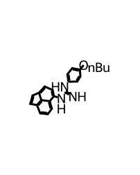 CCCCOc1ccc(NC(=N)Nc2ccc3c4c(cccc24)C=C3)cc1